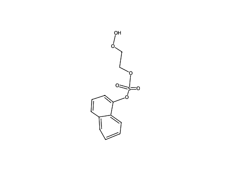 O=S(=O)(OCCOO)Oc1cccc2ccccc12